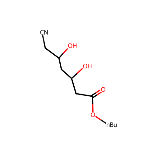 CCCCOC(=O)CC(O)CC(O)CC#N